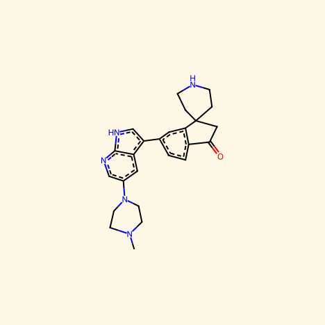 CN1CCN(c2cnc3[nH]cc(-c4ccc5c(c4)C4(CCNCC4)CC5=O)c3c2)CC1